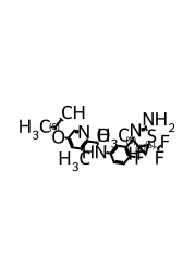 C#C[C@H](C)Oc1cnc(C(=O)Nc2ccc(F)c([C@@]3(C)N=C(N)S[C@@]4(C(F)F)C[C@@H]34)c2)c(C)c1